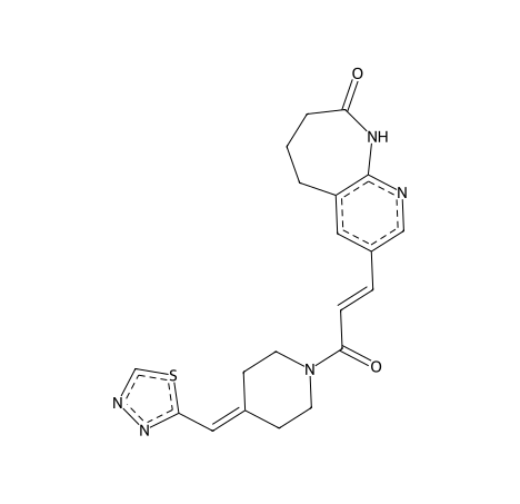 O=C1CCCc2cc(C=CC(=O)N3CCC(=Cc4nncs4)CC3)cnc2N1